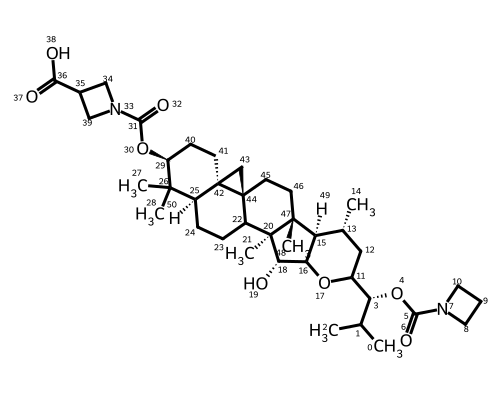 CC(C)[C@@H](OC(=O)N1CCC1)C1C[C@@H](C)[C@H]2C(O1)[C@H](O)[C@@]1(C)C3CC[C@H]4C(C)(C)[C@@H](OC(=O)N5CC(C(=O)O)C5)CC[C@@]45C[C@@]35CC[C@]21C